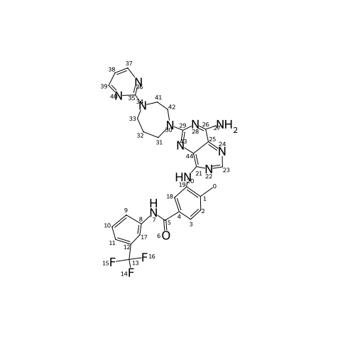 Cc1ccc(C(=O)Nc2cccc(C(F)(F)F)c2)cc1Nc1ncnc2c(N)nc(N3CCCN(c4ncccn4)CC3)nc12